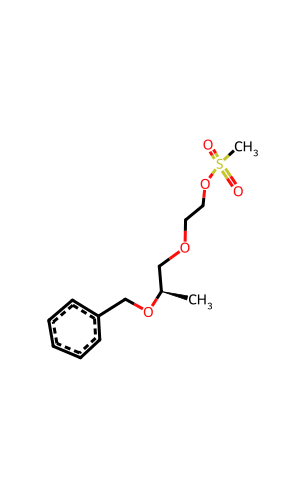 C[C@H](COCCOS(C)(=O)=O)OCc1ccccc1